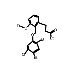 CCOc1cccc(CCC(=O)CC)c1COc1cc(Cl)c(CC)cc1CC